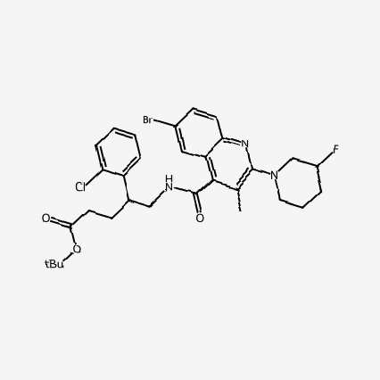 Cc1c(N2CCCC(F)C2)nc2ccc(Br)cc2c1C(=O)NCC(CCC(=O)OC(C)(C)C)c1ccccc1Cl